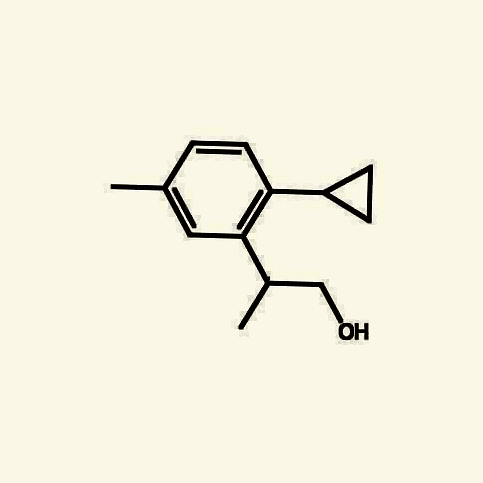 C[C](CO)c1cc(C)ccc1C1CC1